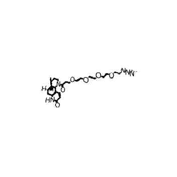 CC1=C[C@H]2Cc3[nH]c(=O)ccc3[C@@]3(C1)[C@@H]2CCCN3C(=O)CCOCCOCCOCCOCCN=[N+]=[N-]